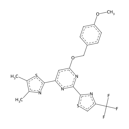 COc1ccc(COc2cc(-c3nc(C)c(C)s3)nc(-c3nc(C(F)(F)F)cs3)n2)cc1